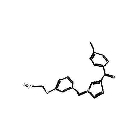 Cc1ccc(C(=O)c2ccn(Cc3cccc(OCC(=O)O)c3)c2)cc1